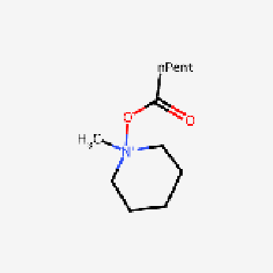 CCCCCC(=O)O[N+]1(C)CCCCC1